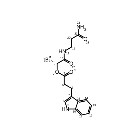 [CH2]C(C)(C)[C@@H](OC(=O)CCc1c[nH]c2ccccc12)C(=O)NCCC(N)=O